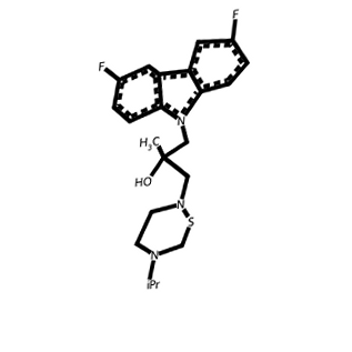 CC(C)N1CCN(CC(C)(O)Cn2c3ccc(F)cc3c3cc(F)ccc32)SC1